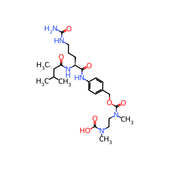 CC(C)[C@H](C)C(=O)N[C@@H](CCCNC(N)=O)C(=O)Nc1ccc(COC(=O)N(C)CCN(C)C(=O)O)cc1